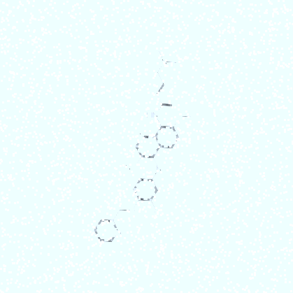 CCOc1ccc2c(Nc3ccc(OCc4ccccn4)c(Cl)c3)c(C#N)cnc2c1NC(=O)C=CCN(C)C